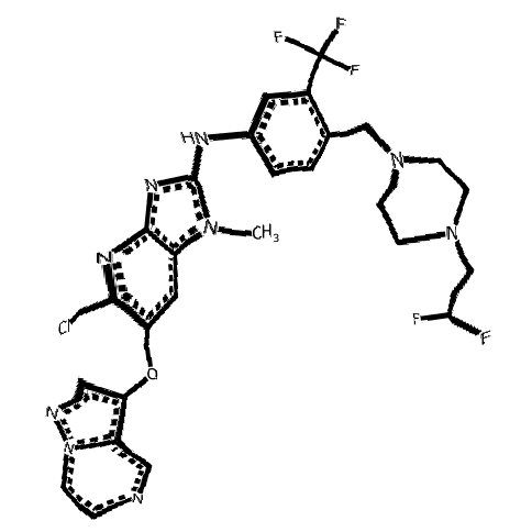 Cn1c(Nc2ccc(CN3CCN(CC(F)F)CC3)c(C(F)(F)F)c2)nc2nc(Cl)c(Oc3cnn4ccncc34)cc21